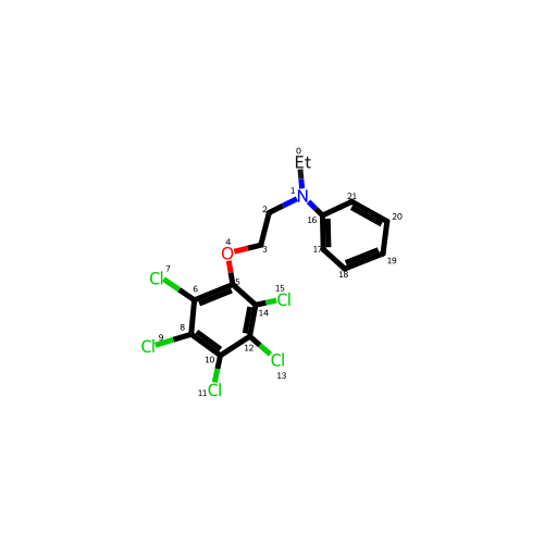 CCN(CCOc1c(Cl)c(Cl)c(Cl)c(Cl)c1Cl)c1ccccc1